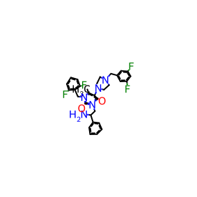 Cc1c(N2CCN(Cc3cc(F)cc(F)c3)CC2)c(=O)n(CC(N)c2ccccc2)c(=O)n1Cc1c(F)cccc1F